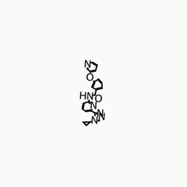 O=C(Nc1cccc(-c2nncn2C2CC2)n1)c1cccc(Oc2cccnc2)c1